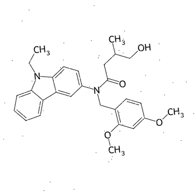 CCn1c2ccccc2c2cc(N(Cc3ccc(OC)cc3OC)C(=O)CC(C)CO)ccc21